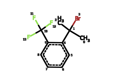 CC(C)(Br)c1ccccc1C(F)(F)F